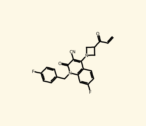 C=CC(=O)C1CN(c2c(C#N)c(=O)n(Cc3ccc(F)cc3)c3cc(F)ccc23)C1